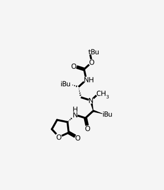 CC[C@H](C)[C@@H](C(=O)N[C@H]1CCOC1=O)N(C)C[C@@H](NC(=O)OC(C)(C)C)[C@@H](C)CC